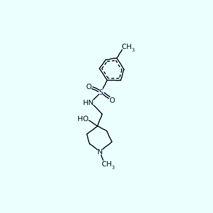 Cc1ccc(S(=O)(=O)NCC2(O)CCN(C)CC2)cc1